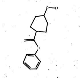 CCOC1CCC(C(=O)Oc2ccccc2)CC1